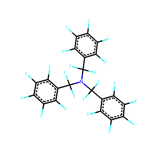 Fc1c(F)c(F)c(C(F)(F)N(C(F)(F)c2c(F)c(F)c(F)c(F)c2F)C(F)(F)c2c(F)c(F)c(F)c(F)c2F)c(F)c1F